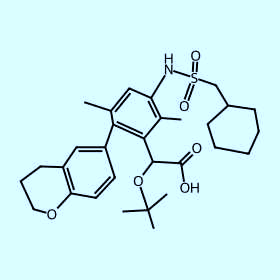 Cc1cc(NS(=O)(=O)CC2CCCCC2)c(C)c(C(OC(C)(C)C)C(=O)O)c1-c1ccc2c(c1)CCCO2